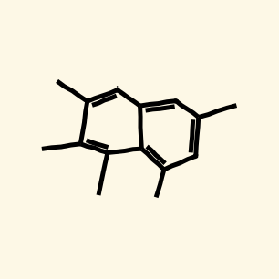 Cc1cc(C)c2c(C)c(C)c(C)[c]c2c1